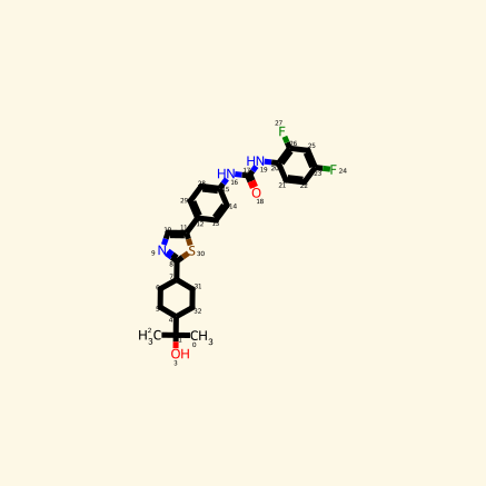 CC(C)(O)C1CCC(c2ncc(-c3ccc(NC(=O)Nc4ccc(F)cc4F)cc3)s2)CC1